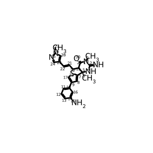 CN1C(=N)N[C@](C)(c2cc(-c3cccc(N)c3)cs2)C(C/C=C/c2cnn(C)c2)C1=O